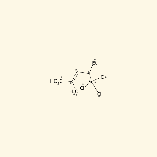 CCC(C=C(C)C(=O)O)[Si](Cl)(Cl)Cl